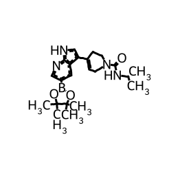 CC(C)NC(=O)N1CC=C(c2c[nH]c3ncc(B4OC(C)(C)C(C)(C)O4)cc23)CC1